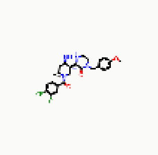 COc1ccc(CN2CCN/C(=C3/CN(C(=O)c4ccc(Cl)c(Cl)c4)[C@@H](C)CC3=N)C2=O)cc1